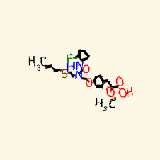 CCCCCSCCN(CCOc1ccc(CC(OCC)C(=O)O)cc1)C(=O)Nc1ccccc1F